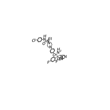 CCOC(Cn1cncn1)(c1ccc(F)cc1F)C(N)Oc1ccc(N2CCN(N(CC)C(=O)Nc3ccc(Cl)cc3)CC2)cc1